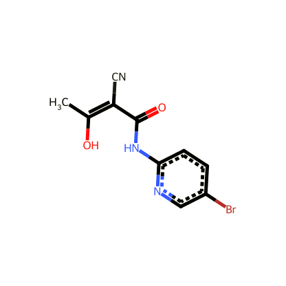 CC(O)=C(C#N)C(=O)Nc1ccc(Br)cn1